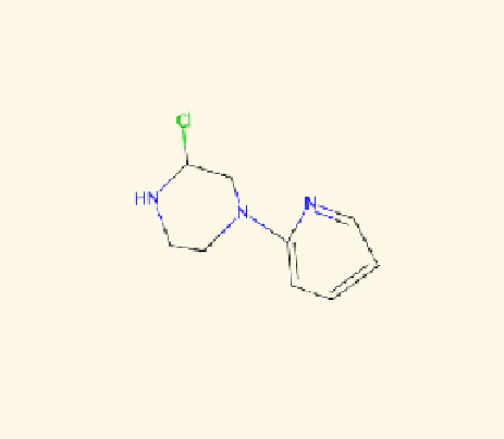 ClC1CN(c2ccccn2)CCN1